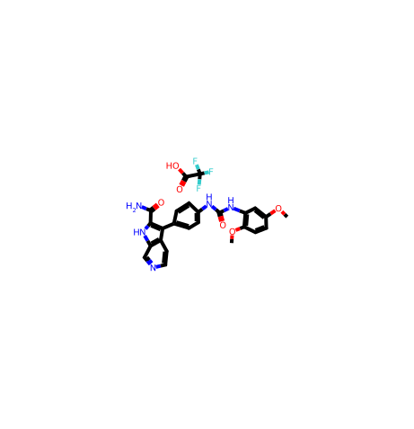 COc1ccc(OC)c(NC(=O)Nc2ccc(-c3c(C(N)=O)[nH]c4cnccc34)cc2)c1.O=C(O)C(F)(F)F